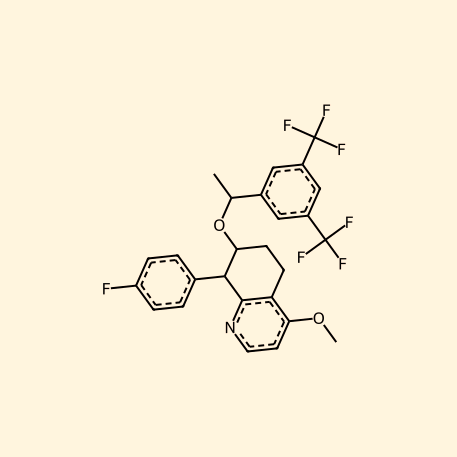 COc1ccnc2c1CCC(OC(C)c1cc(C(F)(F)F)cc(C(F)(F)F)c1)C2c1ccc(F)cc1